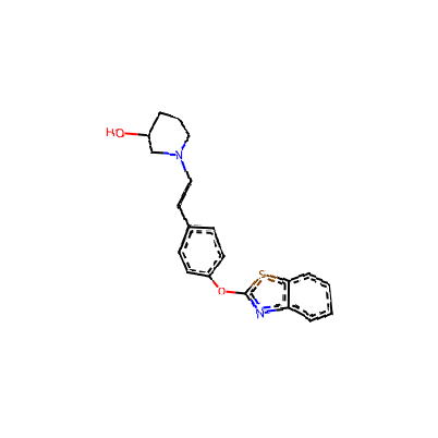 OC1CCCN(CCc2ccc(Oc3nc4ccccc4s3)cc2)C1